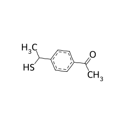 CC(=O)c1ccc(C(C)S)cc1